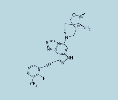 C[C@@H]1OCC2(CCN(c3nc4[nH]nc(C#Cc5cccc(C(F)(F)F)c5F)c4c4nccn34)CC2)[C@@H]1N